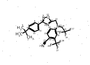 CC(C)(C)c1ccc(-c2noc(CN(CC(F)(F)F)c3ccc(C#N)c(C(F)(F)F)c3)n2)cc1